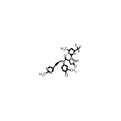 Cc1cc(C(F)(F)F)nc(N2NC(=O)CC2C(=O)N(CC#Cc2cnc(C)nc2)c2ccc(Cl)c(C)c2)n1